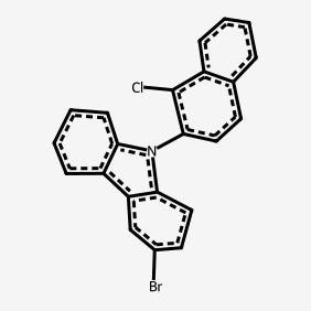 Clc1c(-n2c3ccccc3c3cc(Br)ccc32)ccc2ccccc12